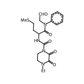 CCN1CCN(C(=O)NC(CCSC)C(=O)N(C[C]=O)c2ccccc2)C(=O)C1=O